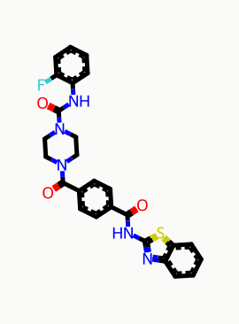 O=C(Nc1nc2ccccc2s1)c1ccc(C(=O)N2CCN(C(=O)Nc3ccccc3F)CC2)cc1